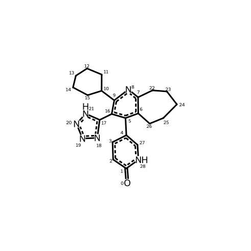 O=c1ccc(-c2c3c(nc(C4CCCCC4)c2-c2nnn[nH]2)CCCCC3)c[nH]1